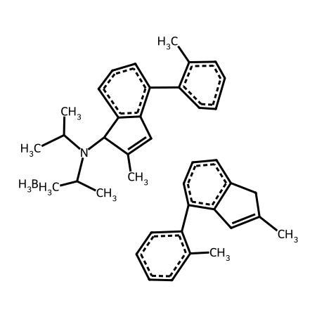 B.CC1=Cc2c(-c3ccccc3C)cccc2C1N(C(C)C)C(C)C.CC1=Cc2c(cccc2-c2ccccc2C)C1